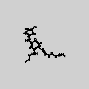 CCCNc1nc(Nc2nnc(C)s2)ncc1C#CCCCN